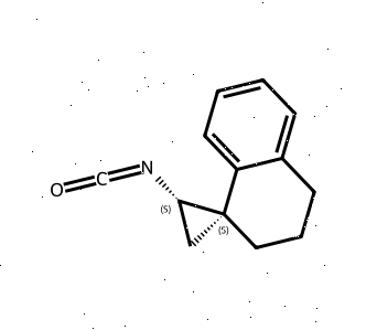 O=C=N[C@H]1C[C@]12CCCc1ccccc12